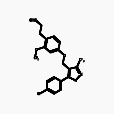 O=CCCc1ccc(OCc2c(C(F)(F)F)nsc2-c2ccc(Cl)cc2)cc1OC(F)(F)F